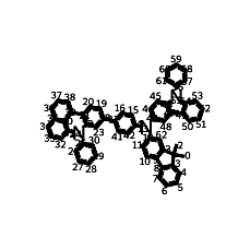 CC1(C)c2ccccc2-c2ccc(N(c3ccc(-c4ccc5c(c4)N(c4ccccc4)c4cccc6cccc-5c46)cc3)c3ccc4c(c3)c3ccccc3n4-c3ccccc3)cc21